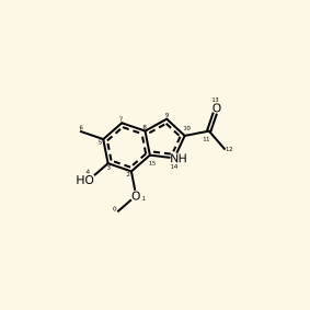 COc1c(O)c(C)cc2cc(C(C)=O)[nH]c12